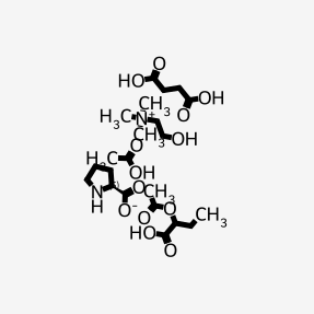 CC(=O)O.CCC(OC(C)=O)C(=O)O.C[N+](C)(C)CCO.O=C(O)CCC(=O)O.O=C([O-])[C@@H]1CCCN1